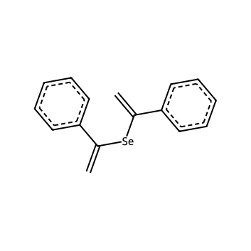 C=C([Se]C(=C)c1ccccc1)c1ccccc1